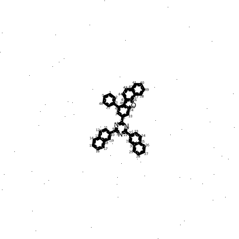 c1ccc(-c2cc(-c3nc(-c4ccc5ccccc5c4)nc(-c4ccc5ccccc5c4)n3)cc3oc4c5ccccc5ccc4c23)cc1